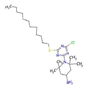 CCCCCCCCCCCCSc1nc(Cl)nc(N2C(C)(C)CC(N)CC2(C)C)n1